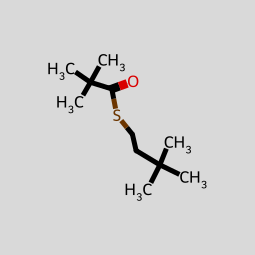 CC(C)(C)CCSC(=O)C(C)(C)C